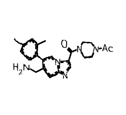 CC(=O)N1CCN(C(=O)c2cnc3cc(CN)c(-c4ccc(C)cc4C)cn23)CC1